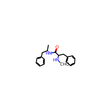 CC(Cc1ccccc1)NC(=O)C(Cc1ccccc1)NC=O